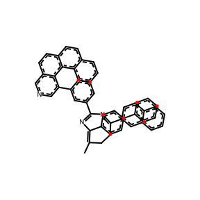 C\C1=C(c2ccc(-c3ccccc3)cc2)/N=C(c2cccc(-c3cncc4ccc5ccc6ccccc6c5c34)c2)\N=C(\c2ccc3ccccc3c2)CC1